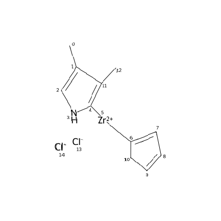 Cc1c[nH][c]([Zr+2][C]2=CC=CC2)c1C.[Cl-].[Cl-]